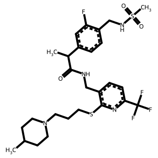 CC1CCN(CCCSc2nc(C(F)(F)F)ccc2CNC(=O)C(C)c2ccc(CNS(C)(=O)=O)c(F)c2)CC1